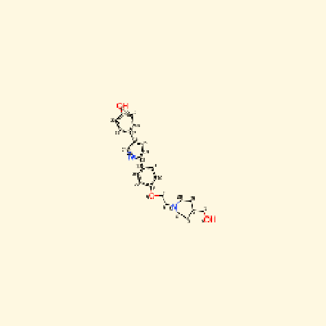 OCC1CCN(CCOc2ccc(-c3ccc(-c4ccc(O)cc4)cn3)cc2)CC1